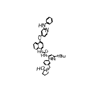 CC(C)(C)c1cc(NC(=O)Nc2ccc(Oc3ccnc(Nc4ccccc4)c3)c3ccccc23)n(-c2cccc(CP3CCCC3O)c2)n1